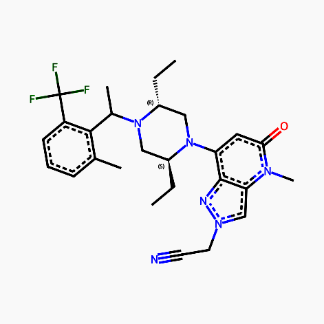 CC[C@H]1CN(C(C)c2c(C)cccc2C(F)(F)F)[C@H](CC)CN1c1cc(=O)n(C)c2cn(CC#N)nc12